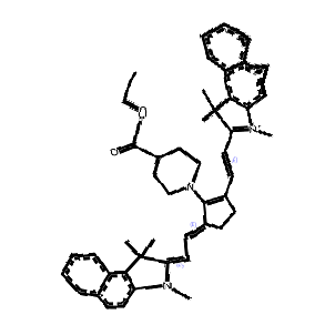 CCOC(=O)C1CCN(C2=C(/C=C/C3=[N+](C)c4ccc5ccccc5c4C3(C)C)CC/C2=C\C=C2\N(C)c3ccc4ccccc4c3C2(C)C)CC1